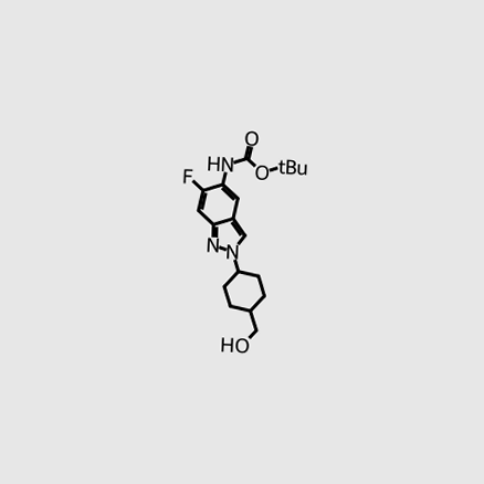 CC(C)(C)OC(=O)Nc1cc2cn(C3CCC(CO)CC3)nc2cc1F